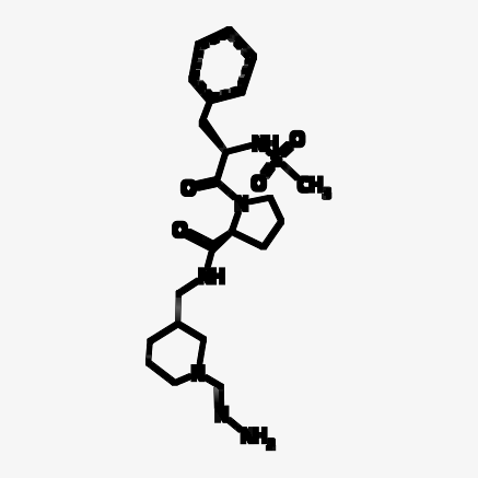 CS(=O)(=O)N[C@H](Cc1ccccc1)C(=O)N1CCC[C@H]1C(=O)NCC1CCCN(C=NN)C1